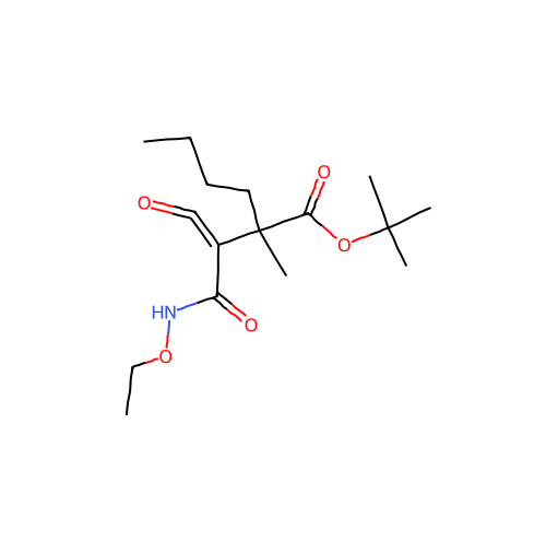 CCCCC(C)(C(=O)OC(C)(C)C)C(=C=O)C(=O)NOCC